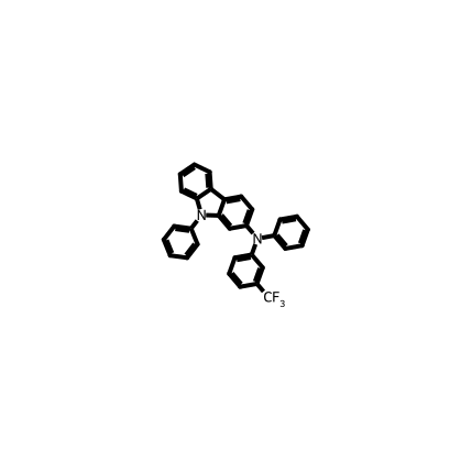 FC(F)(F)c1cccc(N(c2ccccc2)c2ccc3c4ccccc4n(-c4ccccc4)c3c2)c1